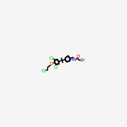 CC(C)(c1ccc(CNC(=O)CBr)cc1)c1cc(Cl)c(OCCCCl)c(Cl)c1